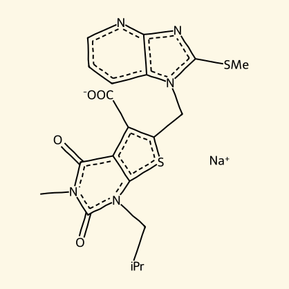 CSc1nc2ncccc2n1Cc1sc2c(c1C(=O)[O-])c(=O)n(C)c(=O)n2CC(C)C.[Na+]